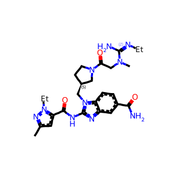 CC/N=C(/N)N(C)CC(=O)N1CC[C@H](Cn2c(NC(=O)c3cc(C)nn3CC)nc3cc(C(N)=O)ccc32)C1